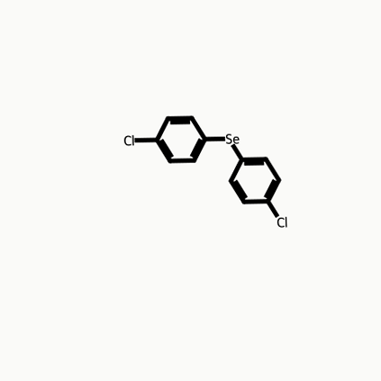 Clc1ccc([Se]c2ccc(Cl)cc2)cc1